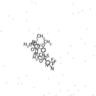 CCCc1nn(C)c2c(=O)[nH]c(-c3cc(N4C(=S)N(c5cnc(C#N)c(C(F)(F)F)c5)C(=O)C4(C)C)ccc3OCC)nc12